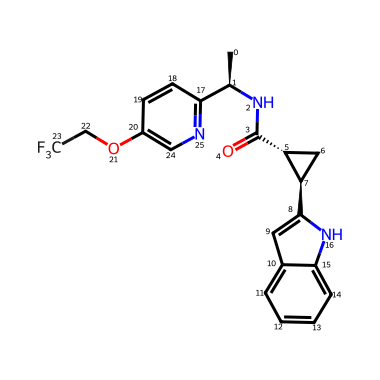 C[C@@H](NC(=O)[C@@H]1C[C@H]1c1cc2ccccc2[nH]1)c1ccc(OCC(F)(F)F)cn1